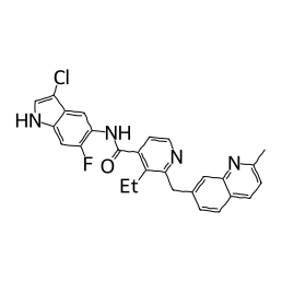 CCc1c(C(=O)Nc2cc3c(Cl)c[nH]c3cc2F)ccnc1Cc1ccc2ccc(C)nc2c1